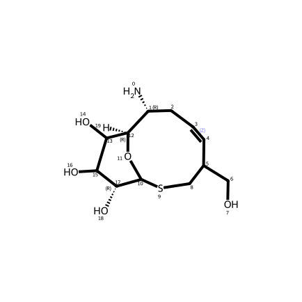 N[C@@H]1C/C=C\C(CO)CSC2O[C@H]1C(O)C(O)[C@H]2O